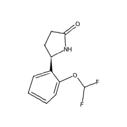 O=C1CC[C@H](c2ccccc2OC(F)F)N1